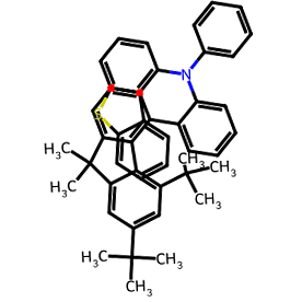 CC(C)(C)c1cc(C(C)(C)C)c2c(c1)C(C)(C)c1cccc(-c3ccccc3N(c3ccccc3)c3cccc4sc5ccccc5c34)c1-2